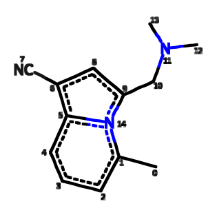 Cc1cccc2c(C#N)cc(CN(C)C)n12